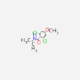 COc1cc(Cl)c(C(=O)NC(C)C)c(Cl)c1